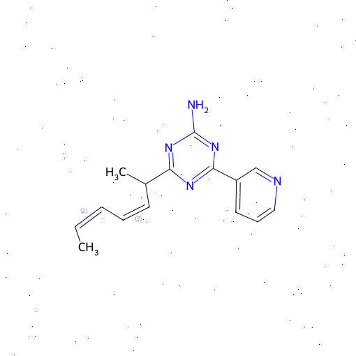 C/C=C\C=C/C(C)c1nc(N)nc(-c2cccnc2)n1